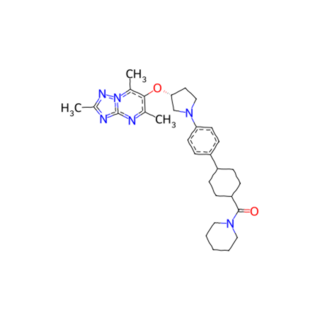 Cc1nc2nc(C)c(O[C@@H]3CCN(c4ccc(C5CCC(C(=O)N6CCCCC6)CC5)cc4)C3)c(C)n2n1